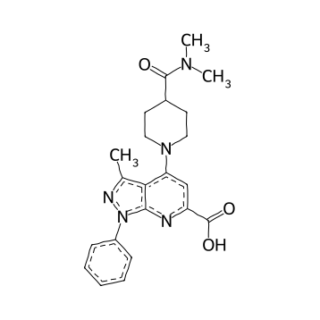 Cc1nn(-c2ccccc2)c2nc(C(=O)O)cc(N3CCC(C(=O)N(C)C)CC3)c12